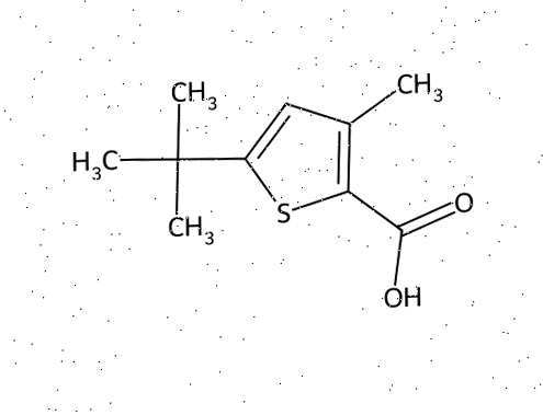 Cc1cc(C(C)(C)C)sc1C(=O)O